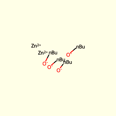 CCCC[O-].CCCC[O-].CCCC[O-].CCCC[O-].[Zn+2].[Zn+2]